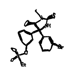 CCS(=O)(=O)Oc1cccc(C2(c3cccc(Br)c3)NC(=S)N(C)C2=O)c1